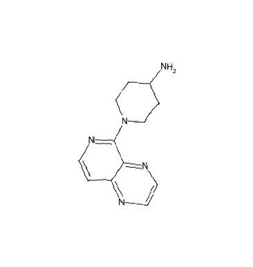 NC1CCN(c2nccc3nccnc23)CC1